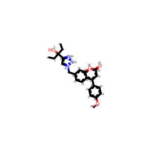 CCC(O)(CC)c1cn(Cc2ccc3c(-c4ccc(OC)cc4)cc(=O)oc3c2)nn1